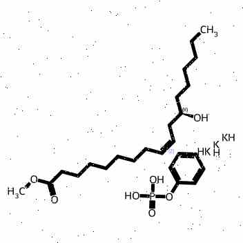 CCCCCC[C@@H](O)C/C=C\CCCCCCCC(=O)OC.O=P(O)(O)Oc1ccccc1.[KH].[KH].[KH]